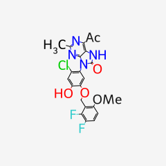 COc1ccc(F)c(F)c1COc1cc(-n2c(=O)[nH]c3c(C(C)=O)nc(C)nc32)c(Cl)cc1O